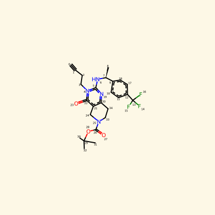 C#CCCn1c(N[C@@H](C)c2ccc(C(F)(F)F)cc2)nc2c(c1=O)CN(C(=O)OC(C)(C)C)CC2